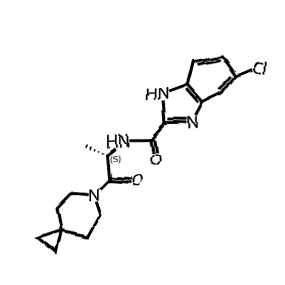 C[C@H](NC(=O)c1nc2cc(Cl)ccc2[nH]1)C(=O)N1CCC2(CC1)CC2